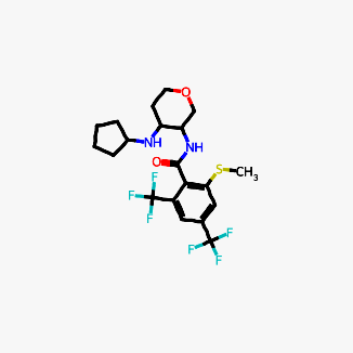 CSc1cc(C(F)(F)F)cc(C(F)(F)F)c1C(=O)NC1COCCC1NC1CCCC1